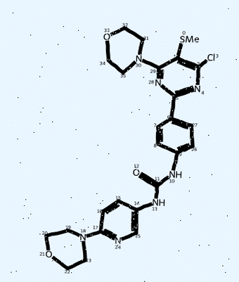 CSc1c(Cl)nc(-c2ccc(NC(=O)Nc3ccc(N4CCOCC4)nc3)cc2)nc1N1CCOCC1